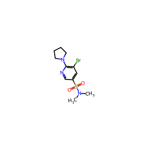 CN(C)S(=O)(=O)c1cnc(N2CCCC2)c(Br)c1